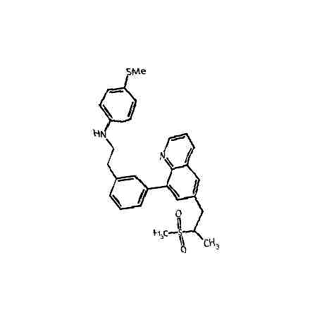 CSc1ccc(NCCc2cccc(-c3cc(CC(C)S(C)(=O)=O)cc4cccnc34)c2)cc1